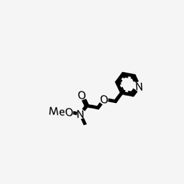 CON(C)C(=O)COCc1cccnc1